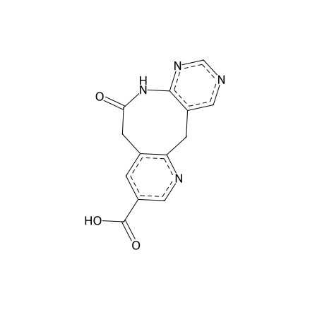 O=C1Cc2cc(C(=O)O)cnc2Cc2cncnc2N1